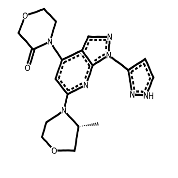 C[C@@H]1COCCN1c1cc(N2CCOCC2=O)c2cnn(-c3cc[nH]n3)c2n1